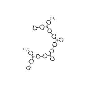 Cc1ccc(N(c2ccc(-c3ccccc3)cc2)c2ccc(-c3ccc(N(c4ccccc4)c4ccc(-c5ccc(N(c6ccccc6)c6ccc(-c7ccc(N(c8ccc(C)cc8)c8ccc(-c9ccccc9)cc8)cc7)cc6)cc5)cc4)cc3)cc2)cc1